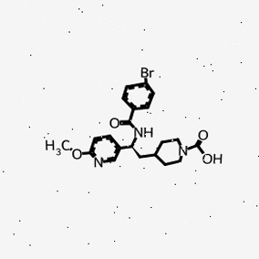 COc1ccc([C@H](CC2CCN(C(=O)O)CC2)NC(=O)c2ccc(Br)cc2)cn1